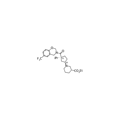 CCOC(=O)C1CCCN([C@@H]2CC[C@@](C(=O)N3COc4ccc(C(F)(F)F)cc4C3)(C(C)C)C2)C1